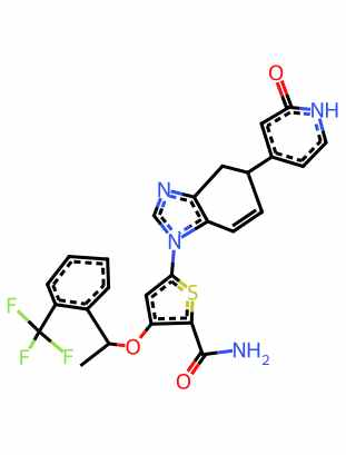 CC(Oc1cc(-n2cnc3c2C=CC(c2cc[nH]c(=O)c2)C3)sc1C(N)=O)c1ccccc1C(F)(F)F